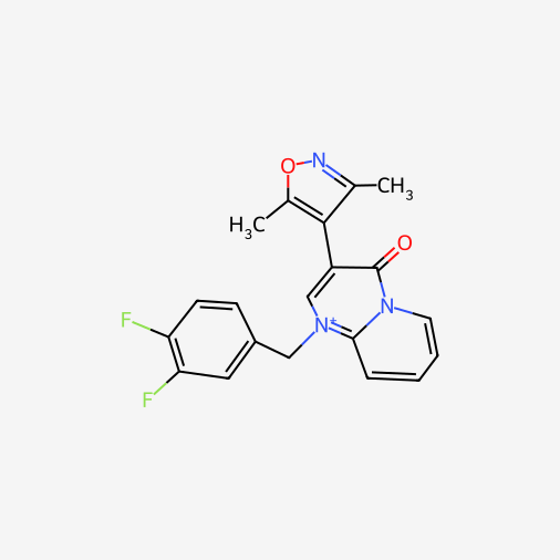 Cc1noc(C)c1-c1c[n+](Cc2ccc(F)c(F)c2)c2ccccn2c1=O